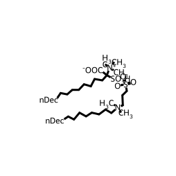 CCCCCCCCCCCCCCCCCCC(C(=O)[O-])([N+](C)(C)C)S(=O)(=O)O.CCCCCCCCCCCCCCCCCC[N+](C)(C)CCCS(=O)(=O)[O-]